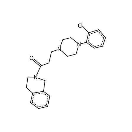 O=C(CCN1CCN(c2ccccc2Cl)CC1)N1CCc2ccccc2C1